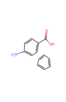 Nc1ccc(C(=O)O)cc1.c1ccccc1